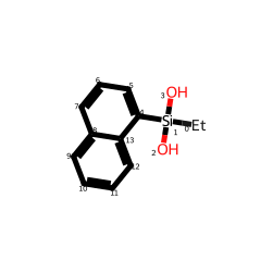 CC[Si](O)(O)c1cccc2ccccc12